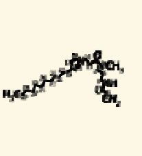 C=CC(=O)NCCCN(CC)C(=O)CCn1cc[n+](CCCCCCCCCCCC)c1